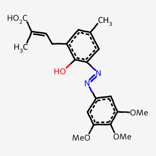 COc1cc(N=Nc2cc(C)cc(CC=C(C)C(=O)O)c2O)cc(OC)c1OC